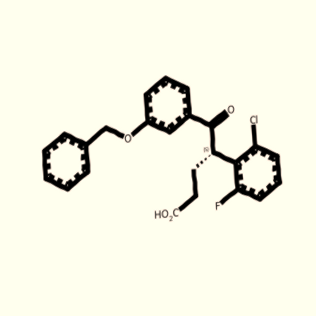 O=C(O)CC[C@H](C(=O)c1cccc(OCc2ccccc2)c1)c1c(F)cccc1Cl